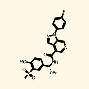 CCC[C@@H](NC(=O)c1cncc2c1cnn2-c1ccc(F)cc1)c1ccc(O)c(S(C)(=O)=O)c1